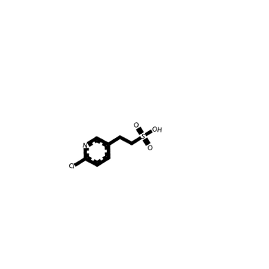 O=S(=O)(O)CCc1ccc(Cl)nc1